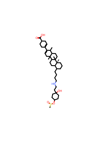 CC1C(C2=CCC(C(=O)O)CC2)=CCC2(C)C1CCC1(C)C2CCC2C(CCCCNCCC3(O)CCC(OS(C)=O)CC3)CCC[C@]21C